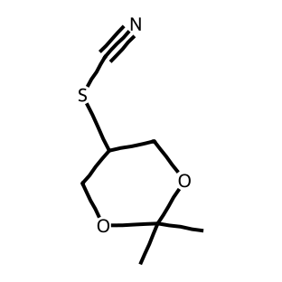 CC1(C)OCC(SC#N)CO1